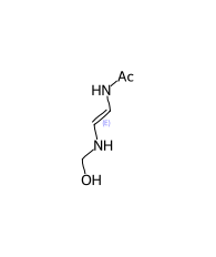 CC(=O)N/C=C/NCO